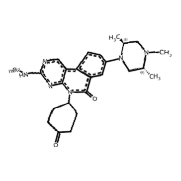 CCCCNc1ncc2c3ccc(N4C[C@@H](C)N(C)C[C@@H]4C)cc3c(=O)n(C3CCC(=O)CC3)c2n1